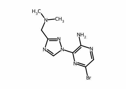 CN(C)Cc1ncn(-c2nc(Br)cnc2N)n1